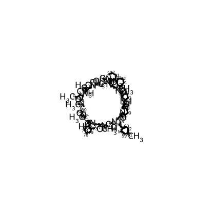 CC[C@H](C)[C@@H]1NC(=O)[C@H](C)N(C)C(=O)C[C@@H](C(=O)N2CCCCC2)N(C)C(=O)[C@H](C2CCCCC2)N(C)C(=O)C2(CCCC2)NC(=O)[C@@H]2CCCN2C(=O)[C@H](CCc2ccc(C)cc2)NC(=O)CN(C)C(=O)[C@H](CC2CCCCC2)N(C)C(=O)CN(C)C(=O)CN(C)C1=O